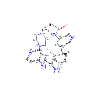 CC(C)C(=O)Nc1cncc(-c2ccc3[nH]nc(-c4nc5c(N6CCN(C)CC6)nccc5[nH]4)c3c2F)c1